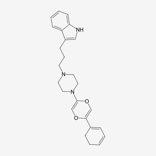 C1=CCCC(C2=COC(N3CCN(CCCc4c[nH]c5ccccc45)CC3)=CO2)=C1